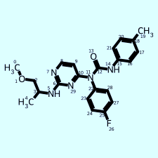 COCC(C)Nc1nccc(N(C(=O)Nc2ccc(C)cc2)c2ccc(F)cc2)n1